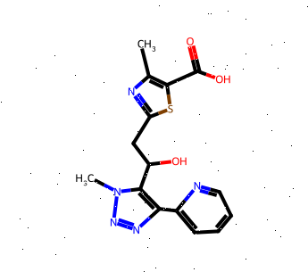 Cc1nc(CC(O)c2c(-c3ccccn3)nnn2C)sc1C(=O)O